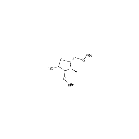 CCCCOC[C@H]1OC(O)[C@H](OCCCC)[C@@H]1C